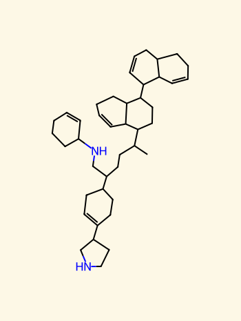 CC(CCC(CNC1C=CCCC1)C1CC=C(C2CCNC2)CC1)C1CCC(C2C=CCC3CCC=CC32)C2CCC=CC12